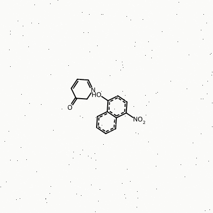 O=C1C=CC=NC1.O=[N+]([O-])c1ccc(O)c2ccccc12